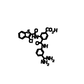 NC(N)c1cccc(NC(=O)c2ccc(C(=O)O)cc2NC(=O)c2sc3ccccc3c2Cl)c1